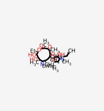 C#CCCN(C)[C@H]1C[C@@H](C)O[C@@H](O[C@@H]2[C@@H](C)C(=O)[C@@H](C)C(=O)O[C@H](CC)[C@@H](O)[C@H](O)[C@@H](C)/C(=N/OC)[C@H](C)C[C@@]2(C)OC)[C@@H]1O